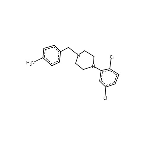 Nc1ccc(CN2CCN(c3cc(Cl)ccc3Cl)CC2)cc1